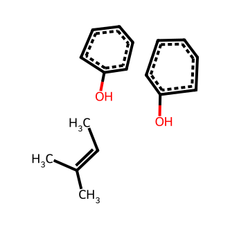 CC=C(C)C.Oc1ccccc1.Oc1ccccc1